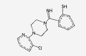 N=C(c1ccccc1S)N1CCN(c2ncccc2Cl)CC1